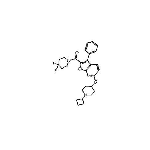 O=C(c1oc2cc(OC3CCN(C4CCC4)CC3)ccc2c1-c1ccccc1)N1CCC(F)(F)CC1